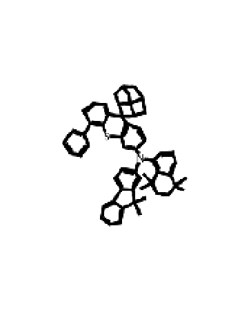 CC1(C)CCC(C)(C)c2c(N(c3ccc4c(c3)Sc3c(-c5ccccc5)cccc3C43C4CC5CC6CC3C64C5)c3ccc4c(c3)C(C)(C)c3ccccc3-4)cccc21